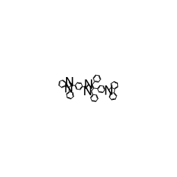 c1ccc(-c2nc(-c3ccc(-c4nc5ccccc5n4-c4ccccc4)cc3)nc(-c3ccccc3)c2-c2ccc(-n3c4ccccc4c4ccccc43)cc2)cc1